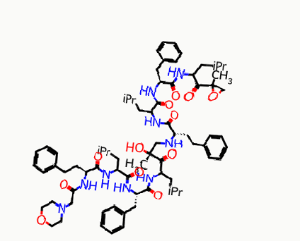 CC(C)CC(NC(=O)[C@H](CCc1ccccc1)NC[C@@](C)(O)C(=O)C(CC(C)C)NC(=O)[C@H](Cc1ccccc1)NC(=O)C(CC(C)C)NC(=O)[C@H](CCc1ccccc1)NC(=O)CN1CCOCC1)C(=O)N[C@@H](Cc1ccccc1)C(=O)NC(CC(C)C)C(=O)C1(C)CO1